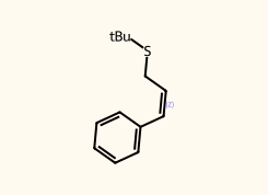 CC(C)(C)SC/C=C\c1ccccc1